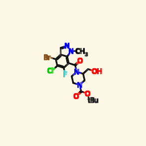 Cn1ncc2c(Br)c(Cl)c(F)c(C(=O)N3CCN(C(=O)OC(C)(C)C)CC3CO)c21